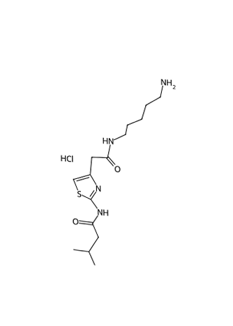 CC(C)CC(=O)Nc1nc(CC(=O)NCCCCCN)cs1.Cl